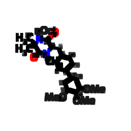 CCCCCCCCN1C(=O)[C@H](Cc2ccc(-c3cc(OC)c(OC)c(OC)c3)cc2)N(C)C(=O)C1(C)C